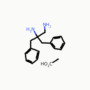 CC(=O)O.NCC(N)(Cc1ccccc1)Cc1ccccc1